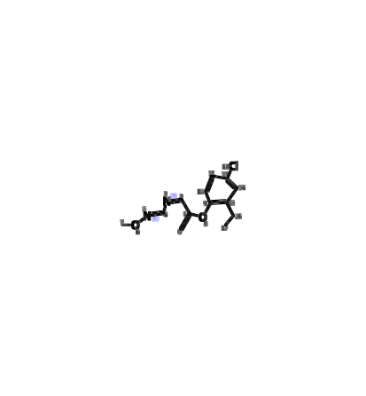 C=C(/C=N\C=N\OC)Oc1ccc(Cl)cc1CC